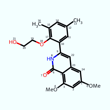 COc1cc(OC)c2c(=O)[nH]c(-c3cc(C)cc(C)c3OCCO)cc2c1